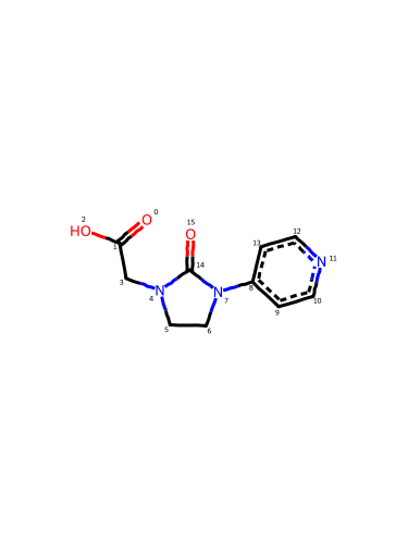 O=C(O)CN1CCN(c2ccncc2)C1=O